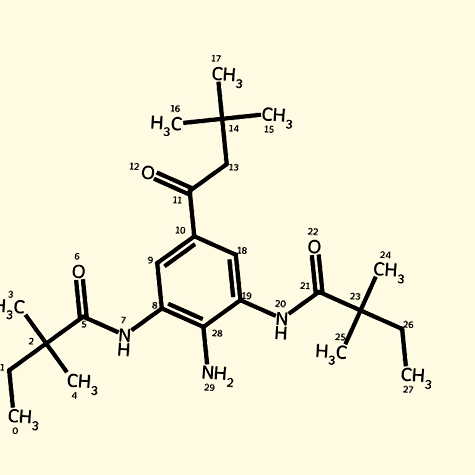 CCC(C)(C)C(=O)Nc1cc(C(=O)CC(C)(C)C)cc(NC(=O)C(C)(C)CC)c1N